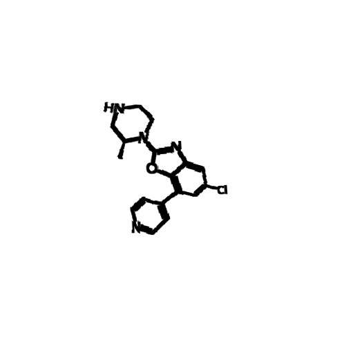 C[C@H]1CNCCN1c1nc2cc(Cl)cc(-c3ccncc3)c2o1